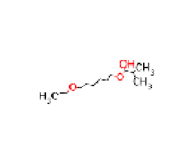 CCCOCCCCCCOC(O)C(C)C